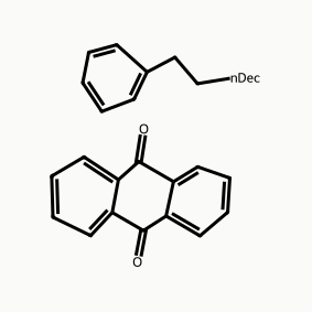 CCCCCCCCCCCCc1ccccc1.O=C1c2ccccc2C(=O)c2ccccc21